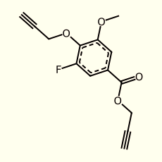 C#CCOC(=O)c1cc(F)c(OCC#C)c(OC)c1